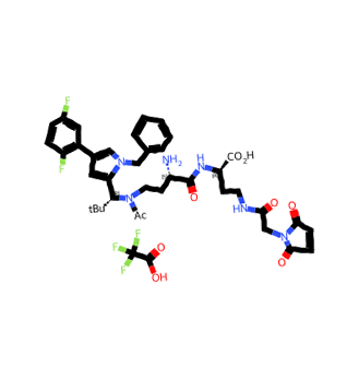 CC(=O)N(CC[C@H](N)C(=O)N[C@H](CCNC(=O)CN1C(=O)C=CC1=O)C(=O)O)[C@@H](c1cc(-c2cc(F)ccc2F)cn1Cc1ccccc1)C(C)(C)C.O=C(O)C(F)(F)F